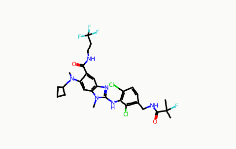 CN(c1cc2c(cc1C(=O)NCCC(F)(F)F)nc(Nc1c(Cl)ccc(CNC(=O)C(C)(C)F)c1Cl)n2C)C1CCC1